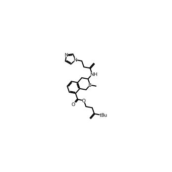 C=C(CCn1ccnc1)NC1Cc2cccc(C(=O)OCCC(=C)C(C)(C)C)c2CB1C